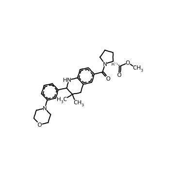 COC(=O)[C@H]1CCCN1C(=O)c1ccc2c(c1)CC(C)(C)C(c1cccc(N3CCOCC3)c1)N2